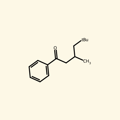 CC(CC(=O)c1ccccc1)CC(C)(C)C